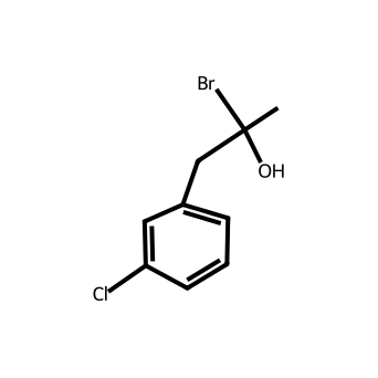 CC(O)(Br)Cc1cccc(Cl)c1